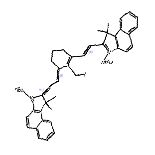 CCCCN1/C(=C/C=C2\CCCC(/C=C/C3=[N+](CCCC)c4ccc5ccccc5c4C3(C)C)=C2CI)C(C)(C)c2c1ccc1ccccc21